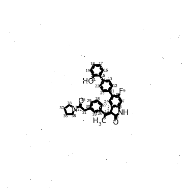 CC(=C1C(=O)Nc2cc(F)c(-c3ccc(-c4ccccc4O)cc3)cc21)c1cccc(CC(=O)N2CCCC2)c1